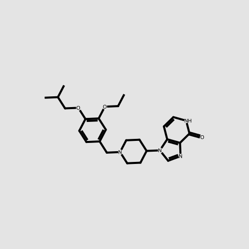 CCOc1cc(CN2CCC(n3cnc4c(=O)[nH]ccc43)CC2)ccc1OCC(C)C